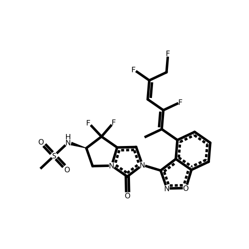 C/C(=C(F)\C=C(\F)CF)c1cccc2onc(-n3cc4n(c3=O)C[C@@H](NS(C)(=O)=O)C4(F)F)c12